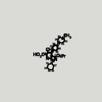 Cc1c(C(=O)O)nc2c(c(OC(C)C)nn2C2CCCCC2)c1-c1ccc(N2CCN(C)CC2)cc1